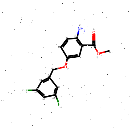 COC(=O)c1cc(OCc2cc(F)cc(F)c2)ccc1N